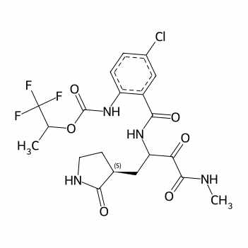 CNC(=O)C(=O)C(C[C@@H]1CCNC1=O)NC(=O)c1cc(Cl)ccc1NC(=O)OC(C)C(F)(F)F